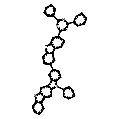 c1ccc(-c2nc(-c3ccccc3)nc(-c3ccc4c(c3)sc3ccc(-c5ccc6c(c5)c5cc7sc8ccccc8c7cc5n6-c5ccccc5)cc34)n2)cc1